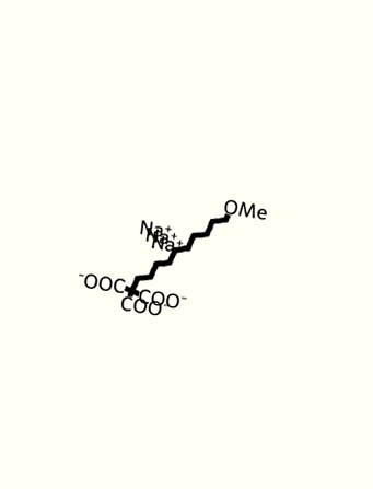 COCCCCCCCCCCC(C(=O)[O-])(C(=O)[O-])C(=O)[O-].[Na+].[Na+].[Na+]